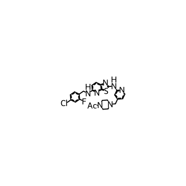 CC(=O)N1CCN(Cc2ccnc(Nc3nc4ccc(NCc5ccc(Cl)cc5F)nc4s3)c2)CC1